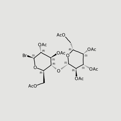 CC(=O)OC[C@H]1O[C@@H](O[C@H]2[C@H](OC(C)=O)[C@@H](OC(C)=O)[C@H](Br)O[C@@H]2COC(C)=O)[C@H](OC(C)=O)[C@@H](OC(C)=O)[C@H]1OC(C)=O